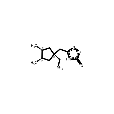 C[C@@H]1C[C@@](CN)(Cc2noc(=O)[nH]2)C[C@@H]1C